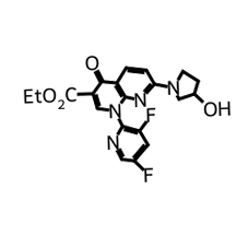 CCOC(=O)c1cn(-c2ncc(F)cc2F)c2nc(N3CCC(O)C3)ccc2c1=O